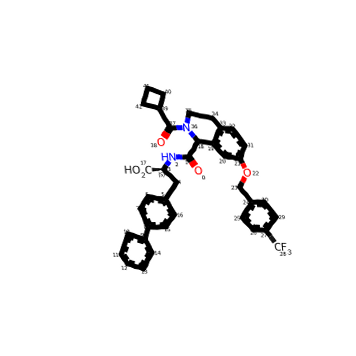 O=C(N[C@@H](Cc1ccc(-c2ccccc2)cc1)C(=O)O)C1c2cc(OCc3ccc(C(F)(F)F)cc3)ccc2CCN1C(=O)C1CCC1